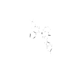 CC(C)(C)OC(=O)NC(C(=O)N1CCCC1C(=O)Nc1cn2cc(Br)sc2n1)c1ccccc1